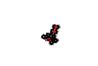 CC1(C)c2ccccc2-c2ccc(N(c3ccc(-c4ccccc4)cc3)c3cc4c(cc3-c3ccc(-c5ccccc5)cc3)-c3ccccc3C4(c3ccccc3)c3ccccc3)cc21